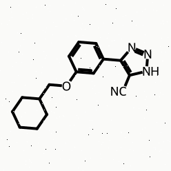 N#Cc1[nH]nnc1-c1cccc(OCC2CCCCC2)c1